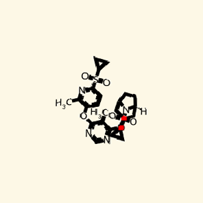 Cc1nc(S(=O)(=O)C2CC2)ccc1Oc1ncnc(OC2CC3CC[C@@H](C2)N3S(=O)(=O)C2CC2)c1C